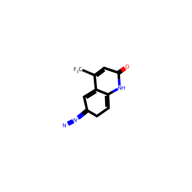 [N-]=[N+]=C1C=c2c(C(F)(F)F)cc(=O)[nH]c2=CC1